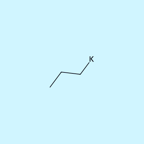 CC[CH2][K]